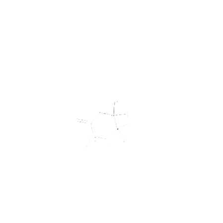 C=[Si]1CC(C)(C)C(C)(C)O[Si]1=C